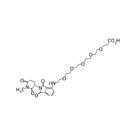 CN1C(=O)CCC(N2C(=O)c3cccc(NCCOCCOCCOCCOCCOCCC(=O)O)c3C2=O)C1=O